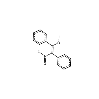 COC(=C(c1ccccc1)[N+](=O)[O-])c1ccccc1